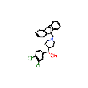 O[C@H](c1ccc(Cl)c(Cl)c1)C1CCN(CC23CC(c4ccccc42)c2ccccc23)CC1